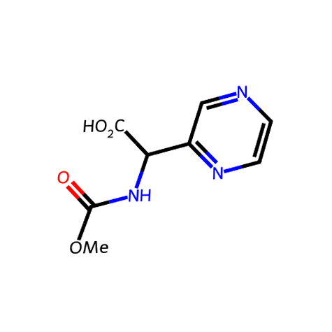 COC(=O)NC(C(=O)O)c1cnccn1